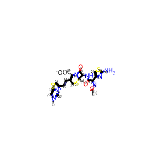 CCO/N=C(\C(=O)N[C@@H]1C(=O)N2C(C(=O)[O-])=C(/C=C/c3csc4cn(C)c[n+]34)CS[C@H]12)c1csc(N)n1